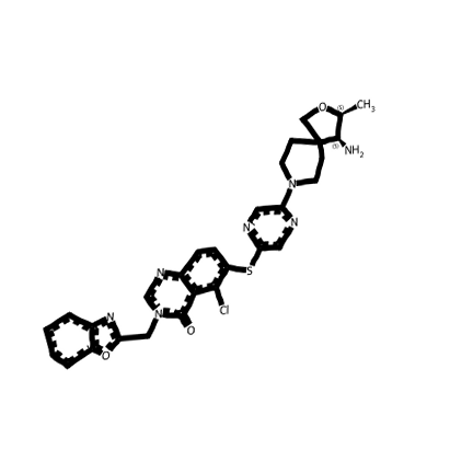 C[C@@H]1OCC2(CCN(c3cnc(Sc4ccc5ncn(Cc6nc7ccccc7o6)c(=O)c5c4Cl)cn3)CC2)[C@@H]1N